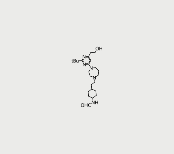 CC(C)(C)c1nc(CCO)cc(N2CCCN(CCC3CCC(NC=O)CC3)CC2)n1